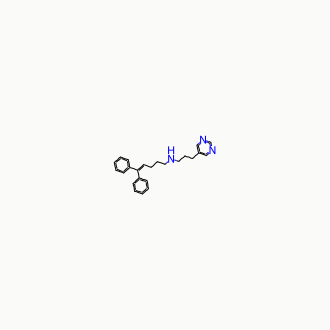 C(CCCNCCCc1cncnc1)=C(c1ccccc1)c1ccccc1